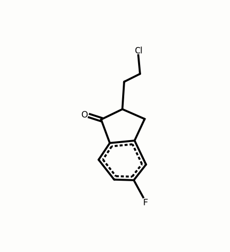 O=C1c2ccc(F)cc2CC1CCCl